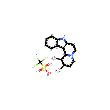 Cc1ccn2ccc3nc4ccccc4c-3c2c1C.O=S(=O)(O)C(F)(F)F